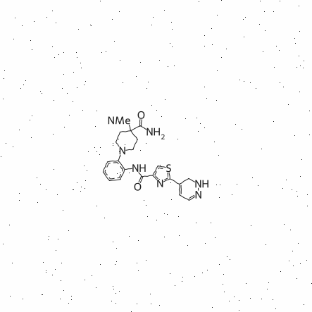 CNC1(C(N)=O)CCN(c2ccccc2NC(=O)c2csc(C3=CC=NNC3)n2)CC1